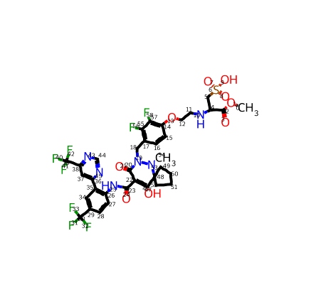 COC(=O)C(CS(=O)(=O)O)NCCOc1ccc(CN2C(=O)C(C(=O)Nc3ccc(C(F)(F)F)cc3-c3cc(C(F)(F)F)ncn3)=C(O)C3(CCCC3)N2C)c(F)c1F